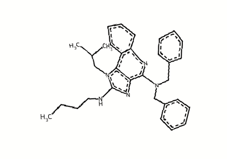 CCCCNc1nc2c(N(Cc3ccccc3)Cc3ccccc3)nc3ccccc3c2n1CC(C)C